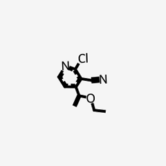 C=C(OCC)c1ccnc(Cl)c1C#N